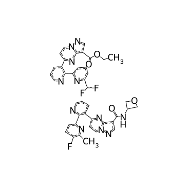 CCOC(=O)c1cnn2ccc(-c3cccnc3-c3cccc(C(F)F)n3)nc12.Cc1nc(-c2ncccc2-c2ccn3ncc(C(=O)NC4COC4)c3n2)ccc1F